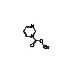 CC(C)(C)OC(=O)N1C=CC=NC1